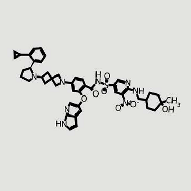 CC1(O)CCC(CNc2ncc(S(=O)(=O)NC(=O)c3ccc(N4CC5(CC(N6CCC[C@H]6c6ccccc6C6CC6)C5)C4)cc3Oc3cnc4[nH]ccc4c3)cc2[N+](=O)[O-])CC1